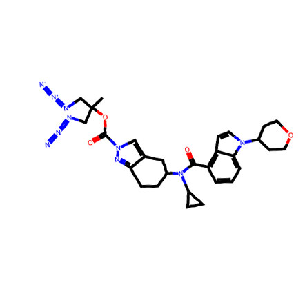 CC(CN=[N+]=[N-])(CN=[N+]=[N-])OC(=O)n1cc2c(n1)CCC(N(C(=O)c1cccc3c1ccn3C1CCOCC1)C1CC1)C2